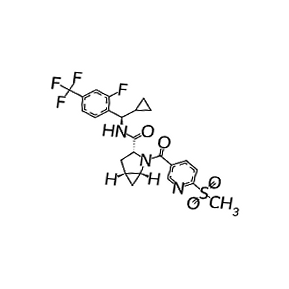 CS(=O)(=O)c1ccc(C(=O)N2[C@@H](C(=O)N[C@@H](c3ccc(C(F)(F)F)cc3F)C3CC3)C[C@H]3C[C@H]32)cn1